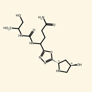 NC(=O)CCC(NC(=O)NC(CO)C(=O)O)c1nnc([C@@H]2C[C@@H](O)CN2)o1